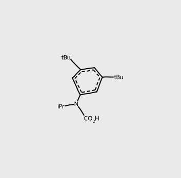 CC(C)N(C(=O)O)c1cc(C(C)(C)C)cc(C(C)(C)C)c1